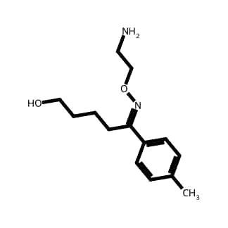 Cc1ccc(/C(CCCCO)=N/OCCN)cc1